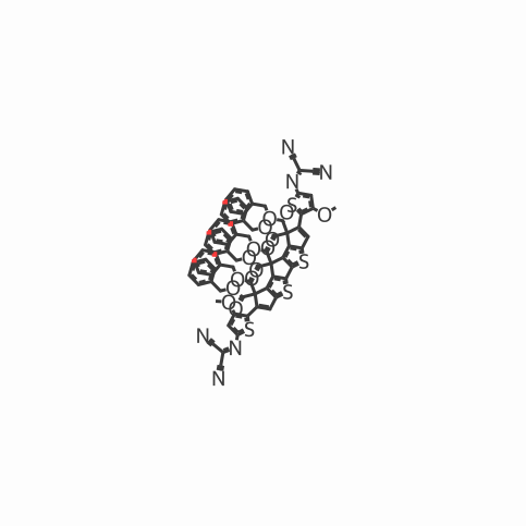 COc1cc(N=C(C#N)C#N)sc1C1=Cc2sc3c(c2C1(C(=O)OCc1ccccc1)C(=O)OCc1ccccc1)C(C(=O)OCc1ccccc1)(C(=O)OCc1ccccc1)c1c-3sc2c1C(C(=O)OCc1ccccc1)(C(=O)OCc1ccccc1)C(c1sc(N=C(C#N)C#N)cc1OC)=C2